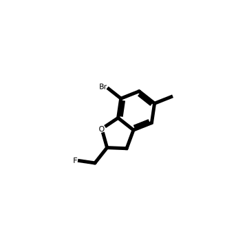 Cc1cc(Br)c2c(c1)CC(CF)O2